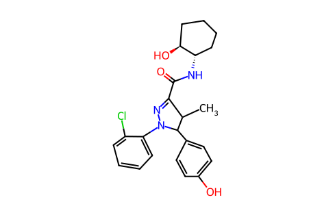 CC1C(C(=O)N[C@H]2CCCC[C@@H]2O)=NN(c2ccccc2Cl)C1c1ccc(O)cc1